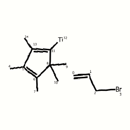 C=CCBr.CC1=C(C)C(C)(C)[C]([Ti])=C1C